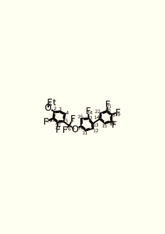 CCOc1ccc(C(F)(F)Oc2ccc(-c3cc(F)c(F)c(F)c3)c(F)c2)c(F)c1F